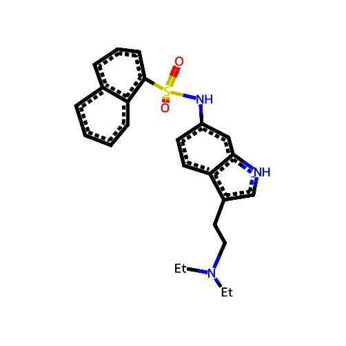 CCN(CC)CCc1c[nH]c2cc(NS(=O)(=O)c3cccc4ccccc34)ccc12